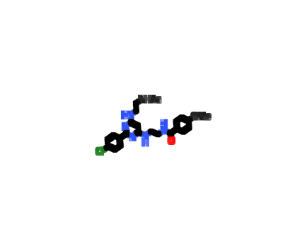 COc1ccc(C(=O)NCCNc2cc(NCCNC(C)=O)nc(-c3ccc(Cl)cc3)n2)cc1